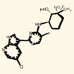 C[C@@]1(C(=O)O)CCC[C@@H](Nc2nc(-c3c[nH]c4ncc(Cl)cc34)ncc2F)[C@@H]1O